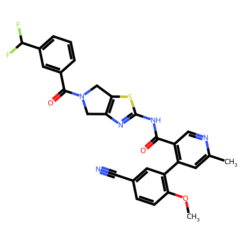 COc1ccc(C#N)cc1-c1cc(C)ncc1C(=O)Nc1nc2c(s1)CN(C(=O)c1cccc(C(F)F)c1)C2